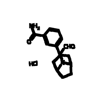 Cl.NC(=O)c1cccc(C2CC3CCC(C2)N3CC=O)c1